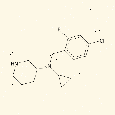 Fc1cc(Cl)ccc1CN(C1CC1)[C@@H]1CCCNC1